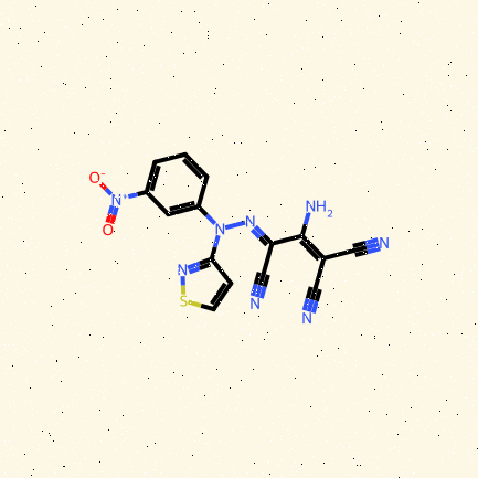 N#CC(=NN(c1cccc([N+](=O)[O-])c1)c1ccsn1)C(N)=C(C#N)C#N